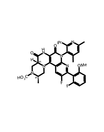 COc1cccc(F)c1-c1nc2c(cc1F)c1c(c(=O)n2-c2c(C)cc(C)nc2C(C)C)NC(=O)[C@H]2CN(C(=O)O)[C@H](C)CN12